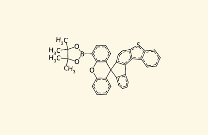 CC1(C)OB(c2cccc3c2Oc2ccccc2C32c3ccccc3-c3c2ccc2sc4ccccc4c32)OC1(C)C